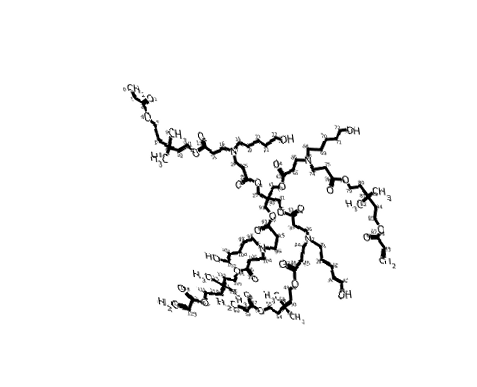 C=CC(=O)OCCC(C)(C)CCOC(=O)CCN(CCCCCO)CCC(=O)OCC(COC(=O)CCN(CCCCCO)CCC(=O)OCCC(C)(C)CCOC(=O)C=C)(COC(=O)CCN(CCCCCO)CCC(=O)OCCC(C)(C)CCOC(=O)C=C)COC(=O)CCN(CCCCCO)CCC(=O)OCCC(C)(C)CCOC(=O)C=C